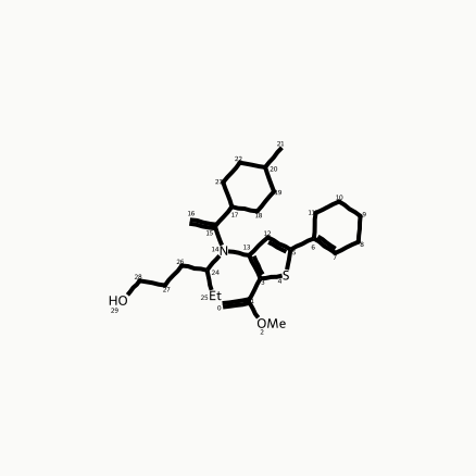 C=C(OC)c1sc(C2=CCCCC2)cc1N(C(=C)C1CCC(C)CC1)C(CC)CCCO